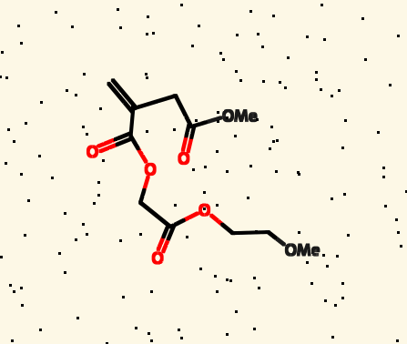 C=C(CC(=O)OC)C(=O)OCC(=O)OCCOC